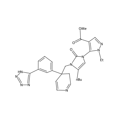 CCCCc1cn(-c2c(C(=O)OC)cnn2CC)c(=O)n1CC1(c2cccc(-c3nnn[nH]3)c2)C=CN=CC1